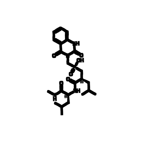 CNC(=O)[C@H](CC(C)C)NC(=O)[C@H](CC(C)C)CP(=O)(O)Cn1c(=O)[nH]c2ccccc2c1=O